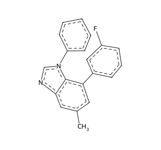 Cc1cc(-c2cccc(F)c2)c2c(c1)ncn2-c1ccccc1